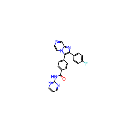 O=C(Nc1ncccn1)c1ccc(-c2c(-c3ccc(F)cc3)nc3cnccn23)cc1